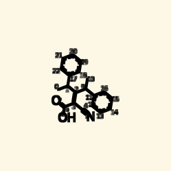 CC(C(=C(C#N)C(=O)O)C(C)c1ccccc1)c1ccccc1